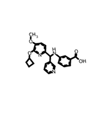 COc1ccc(C(Nc2cccc(C(=O)O)c2)c2cccnc2)nc1OC1CCC1